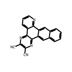 N#Cc1nc2c3cc4ccccc4cc3c3ncccc3c2nc1C#N